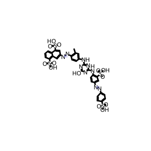 Cc1cc(Nc2nc(O)nc(Nc3ccc(/N=N/c4ccc(S(=O)(=O)O)cc4)cc3S(=O)(=O)O)n2)ccc1/N=N/c1cc(S(=O)(=O)O)c2cccc(S(=O)(=O)O)c2c1